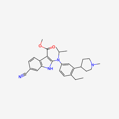 CCc1ccc(N(c2[nH]c3cc(C#N)ccc3c2C(=O)OC)C(C)C)cc1C1CCN(C)CC1